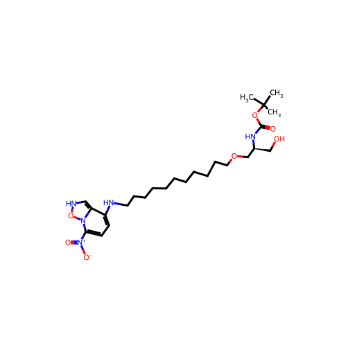 CC(C)(C)OC(=O)N[C@@H](CO)COCCCCCCCCCCCNC1=CC=C([N+](=O)[O-])N2ONC=C12